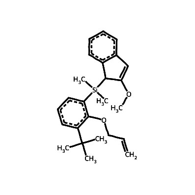 C=CCOc1c(C(C)(C)C)cccc1[Si](C)(C)C1C(OC)=Cc2ccccc21